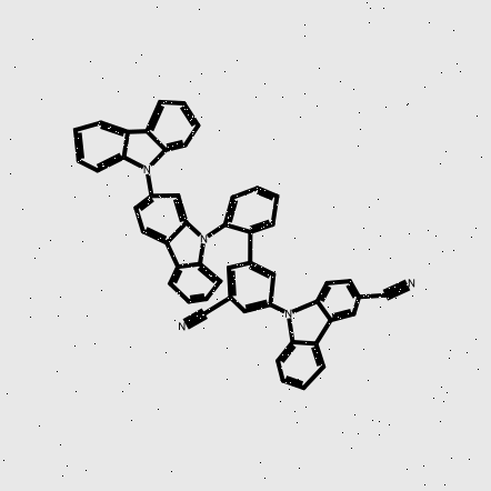 N#Cc1cc(-c2ccccc2-n2c3ccccc3c3ccc(-n4c5ccccc5c5ccccc54)cc32)cc(-n2c3ccccc3c3cc(C#N)ccc32)c1